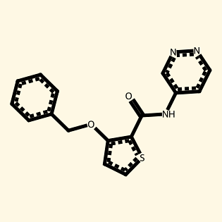 O=C(Nc1ccnnc1)c1sccc1OCc1ccccc1